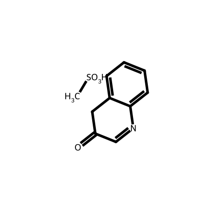 CS(=O)(=O)O.O=C1C=Nc2ccccc2C1